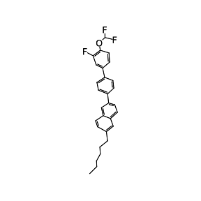 CCCCCCc1ccc2cc(-c3ccc(-c4ccc(OC(F)F)c(F)c4)cc3)ccc2c1